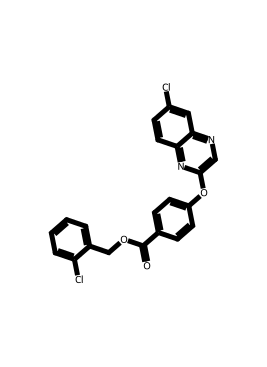 O=C(OCc1ccccc1Cl)c1ccc(Oc2cnc3cc(Cl)ccc3n2)cc1